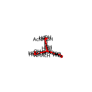 CC(=O)N[C@@H]1[C@@H](O)[C@@H](O)[C@@H](CO)O[C@@H]1CCCOCCOCCNC(=O)NCCCC(C)(CCCNC(=O)NCCOCCOCCC[C@H]1O[C@H](CO)[C@H](O)[C@H](O)[C@H]1NC(C)=O)NC(=O)NCCOCCOCCOCCNC(=O)OCc1ccccc1